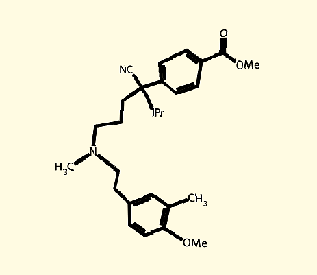 COC(=O)c1ccc(C(C#N)(CCCN(C)CCc2ccc(OC)c(C)c2)C(C)C)cc1